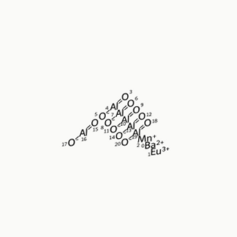 [Ba+2].[Eu+3].[Mn+].[O]=[Al][O-].[O]=[Al][O-].[O]=[Al][O-].[O]=[Al][O-].[O]=[Al][O-].[O]=[Al][O-]